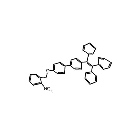 O=[N+]([O-])c1ccccc1COc1ccc(-c2ccc(C(=C(c3ccccc3)c3ccccc3)c3ccccc3)cc2)cc1